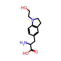 NC(Cc1ccc2c(c1)CCN2CCO)C(=O)O